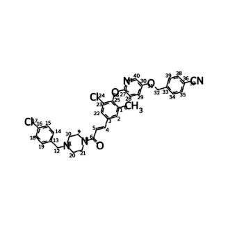 Cc1cc(C=CC(=O)N2CCN(Cc3ccc(Cl)cc3)CC2)cc(Cl)c1Oc1ccc(OCc2ccc(C#N)cc2)cn1